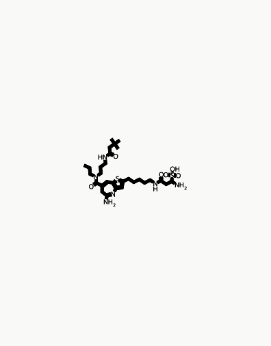 CCCN(CCCNC(=O)CC(C)(C)C)C(=O)C1=Cc2sc(CCCCCNC(=O)CC(N)S(=O)(=O)O)cc2N=C(N)C1